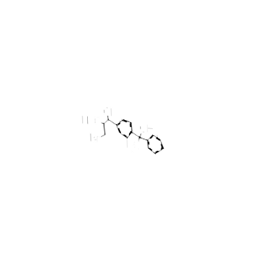 CC(CBr)C(C)c1ccc(C(C)(C)c2ccccc2)cc1